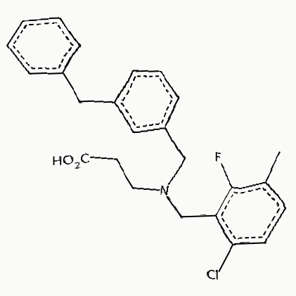 Cc1ccc(Cl)c(CN(CCC(=O)O)Cc2cccc(Cc3ccccc3)c2)c1F